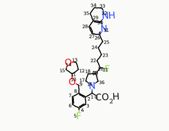 O=C(O)C(c1cc(F)ccc1COC1CCOC1)N1CC[C@@H](C(F)CCCCc2ccc3c(n2)NCCC3)C1